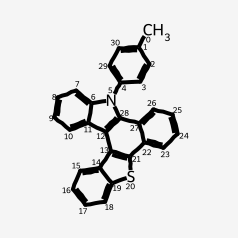 Cc1ccc(-n2c3ccccc3c3c4c5ccccc5sc4c4ccccc4c32)cc1